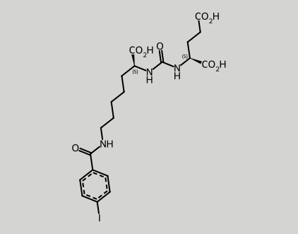 O=C(O)CC[C@H](NC(=O)N[C@@H](CCCCCNC(=O)c1ccc(I)cc1)C(=O)O)C(=O)O